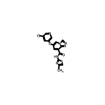 Cc1csc(NC(=O)c2cc(Oc3cncc(Cl)c3)cn3cnnc23)n1